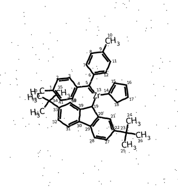 Cc1ccc([C](c2ccc(C)cc2)=[Zr]([C]2=CC=CC2)[CH]2c3cc(C(C)(C)C)ccc3-c3ccc(C(C)(C)C)cc32)cc1